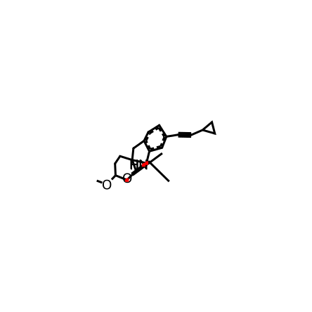 COC1CCC2(CC1)Cc1ccc(C#CC3CC3)cc1C21NC(C)NC1=O